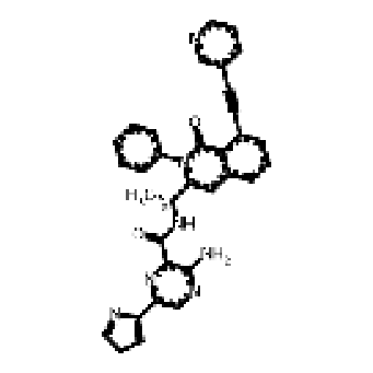 C[C@@H](NC(=O)c1nc(C2=CCC=N2)cnc1N)c1cc2cccc(C#Cc3cccnc3)c2c(=O)n1-c1ccccc1